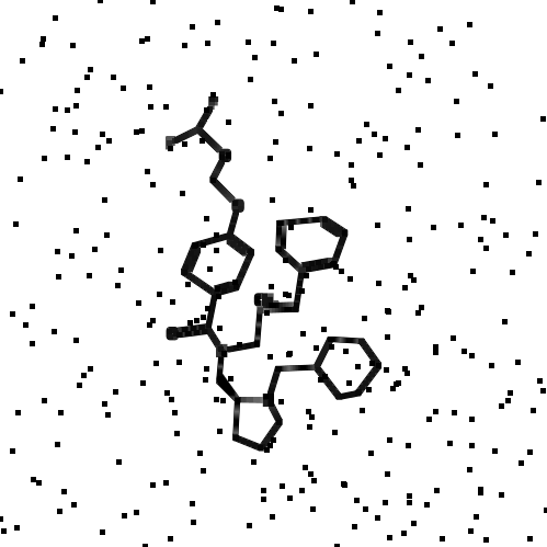 C/C(=C\c1ccccc1)CN(C[C@@H]1CCCN1CC1CCCCC1)C(=O)c1ccc(OCOC(F)F)cc1